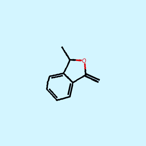 C=C1OC(C)c2ccccc21